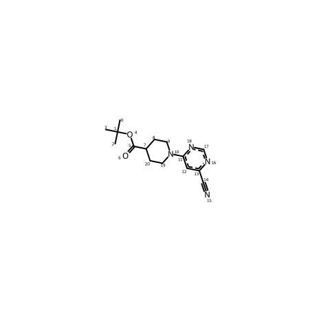 CC(C)(C)OC(=O)C1CCN(c2cc(C#N)ncn2)CC1